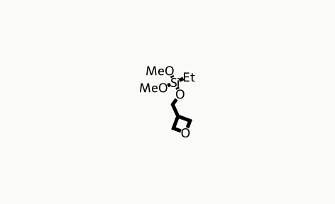 CC[Si](OC)(OC)OCC1COC1